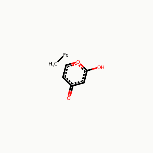 O=c1ccoc(O)c1.[CH3][Fe]